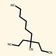 N#CCCCCCC(C#N)(CCC#N)CCC#N